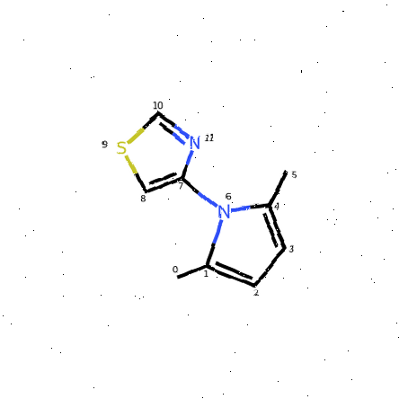 Cc1ccc(C)n1-c1cscn1